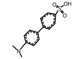 CN(C)c1ccc(-c2ccc(S(=O)(=O)O)cc2)cc1